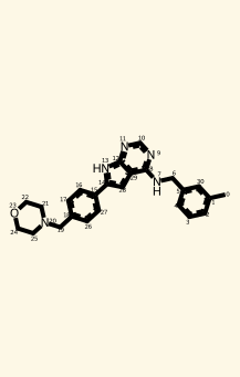 Cc1cccc(CNc2ncnc3[nH]c(-c4ccc(CN5CCOCC5)cc4)cc23)c1